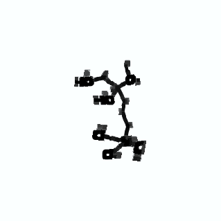 COC(O)(CO)CCC[Si](Cl)(Cl)Cl